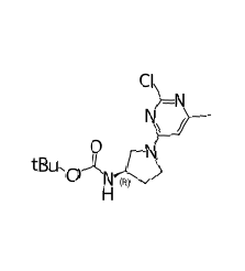 Cc1cc(N2CC[C@@H](NC(=O)OC(C)(C)C)C2)nc(Cl)n1